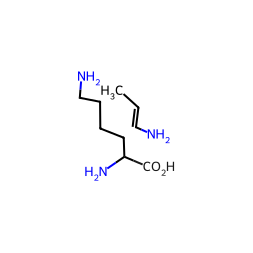 CC=CN.NCCCCC(N)C(=O)O